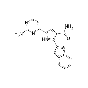 NC(=O)c1cc(-c2ccnc(N)n2)[nH]c1-c1cc2ccccc2s1